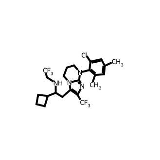 Cc1cc(C)c(N2CCCn3c2nc(C(F)(F)F)c3CC(NCC(F)(F)F)C2CCC2)c(Cl)c1